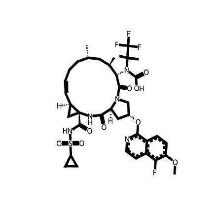 COc1ccc2c(O[C@@H]3C[C@H]4C(=O)N[C@]5(C(=O)NS(=O)(=O)C6CC6)C[C@H]5/C=C\CC[C@H](C)C[C@@H](C)[C@H](N(C(=O)O)C(C)(C)C(F)(F)F)C(=O)N4C3)nccc2c1F